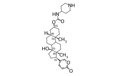 C[C@]12CC[C@H](OC(=O)NC3CCNCC3)C[C@H]1CCC1C2CC[C@]2(C)[C@@H](c3ccc(=O)oc3)CC[C@]12O